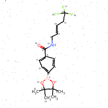 CC1(C)OB(c2ccc(C(=O)NC/C=C/CC(F)(F)F)cc2)OC1(C)C